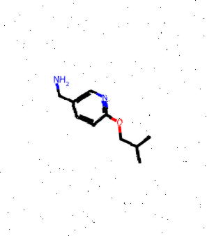 CC(C)COc1ccc(CN)cn1